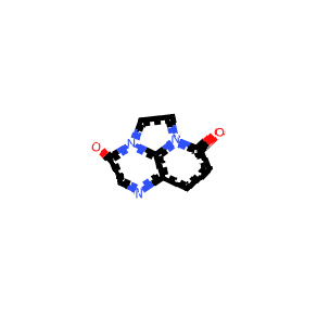 O=c1ccc2ncc(=O)n3ccn1c23